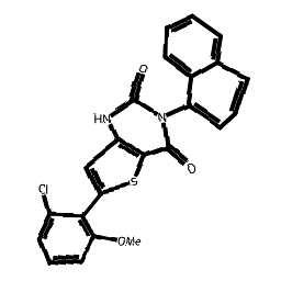 COc1cccc(Cl)c1-c1cc2[nH]c(=O)n(-c3cccc4ccccc34)c(=O)c2s1